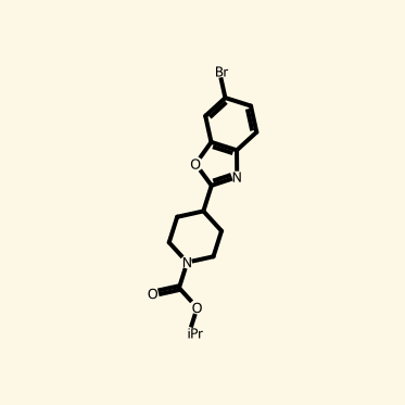 CC(C)OC(=O)N1CCC(c2nc3ccc(Br)cc3o2)CC1